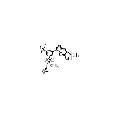 CCC(=Cc1ccc(-c2cc(C(F)(F)F)cc(S(=O)(=O)N(C)CC3CO3)c2)s1)C(=O)O